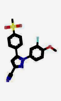 COc1ccc(-n2nc(C#N)cc2-c2ccc(S(C)(=O)=O)cc2)cc1F